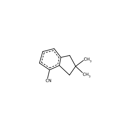 CC1(C)Cc2cccc(C#N)c2C1